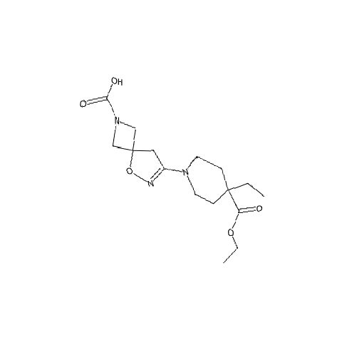 CCOC(=O)C1(CC)CCN(C2=NOC3(C2)CN(C(=O)O)C3)CC1